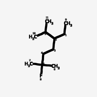 CCC(CCC(C)(C)F)C(C)C